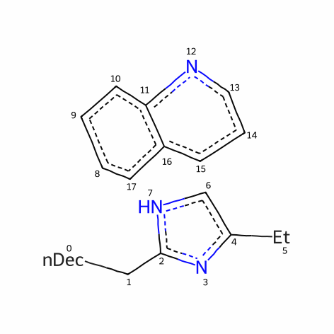 CCCCCCCCCCCc1nc(CC)c[nH]1.c1ccc2ncccc2c1